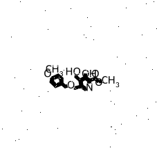 COC(=O)c1ncc(COCc2ccc(OC)cc2)c(CO)c1O